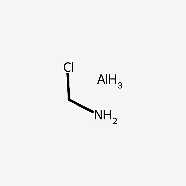 NCCl.[AlH3]